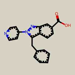 O=C(O)c1ccc2c(Cc3ccccc3)n(-c3ccncc3)nc2c1